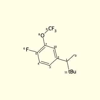 CC(c1ccc(F)c(OC(F)(F)F)c1)C(C)(C)C